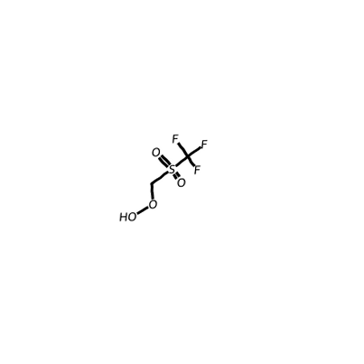 O=S(=O)(COO)C(F)(F)F